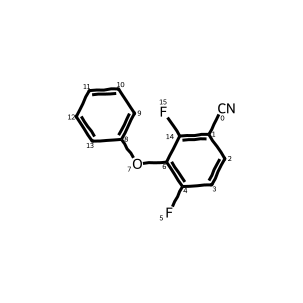 N#Cc1ccc(F)c(Oc2ccccc2)c1F